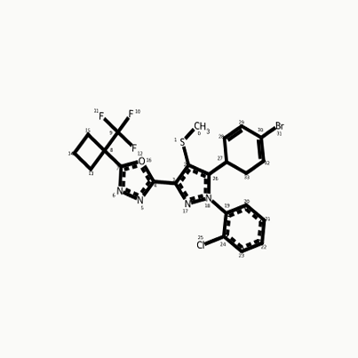 CSc1c(-c2nnc(C3(C(F)(F)F)CCC3)o2)nn(-c2ccccc2Cl)c1C1C=CC(Br)=CC1